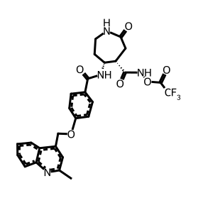 Cc1cc(COc2ccc(C(=O)N[C@@H]3CCNC(=O)C[C@@H]3C(=O)NOC(=O)C(F)(F)F)cc2)c2ccccc2n1